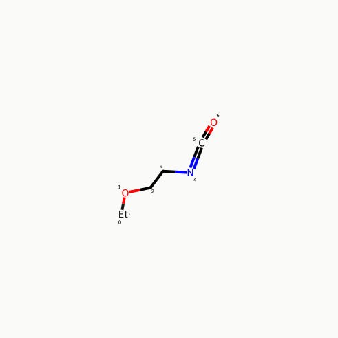 C[CH]OCCN=C=O